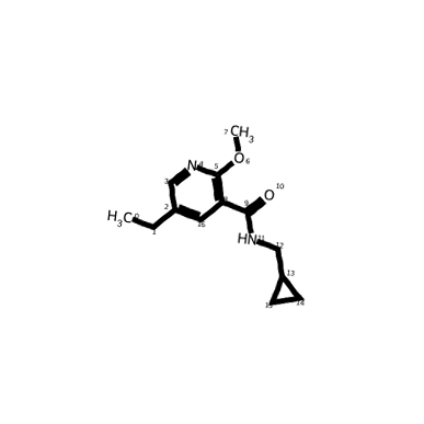 CCc1cnc(OC)c(C(=O)NCC2CC2)c1